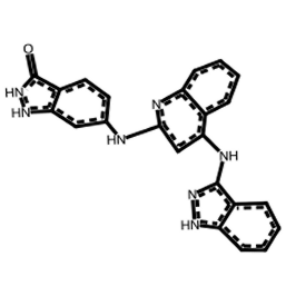 O=c1[nH][nH]c2cc(Nc3cc(Nc4n[nH]c5ccccc45)c4ccccc4n3)ccc12